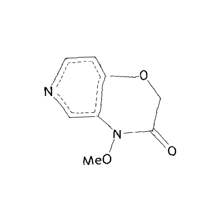 CON1C(=O)COc2ccncc21